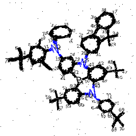 Cc1cc(C(C)(C)C)cc(C)c1N(c1ccccc1)c1ccc2c(c1)N(c1ccc3c(c1)C(C)(C)c1ccccc1-3)c1cc(C(C)(C)C)cc3c1B2c1cc(C(C)(C)C)ccc1N3c1ccc(C(C)(C)C)cc1